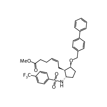 COC(=O)CC/C=C\C[C@@H]1[C@@H](NS(=O)(=O)c2ccc(C(F)(F)F)cc2)CC[C@@H]1OCc1ccc(-c2ccccc2)cc1